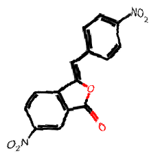 O=C1OC(=Cc2ccc([N+](=O)[O-])cc2)c2ccc([N+](=O)[O-])cc21